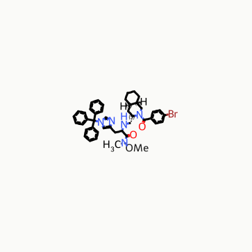 CON(C)C(=O)C(Cc1cn(C(c2ccccc2)(c2ccccc2)c2ccccc2)cn1)NC[C@@H]1C[C@H]2CCCC[C@@H]2CN1C(=O)c1ccc(Br)cc1